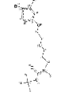 CN(CCCOCCOc1ccc(Br)c(F)c1)C(=O)OC(C)(C)C